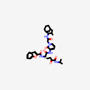 CC(C)NC(=O)C(=O)CC[C@H](NC(=O)c1cc2ccccc2o1)C(=O)Nc1cccn(CC(=O)NC2C(C)CC3CCCC2C3)c1=O